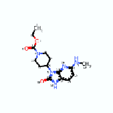 CCOC(=O)N1CCC(n2c(=O)[nH]c3ccc(NC)nc32)CC1